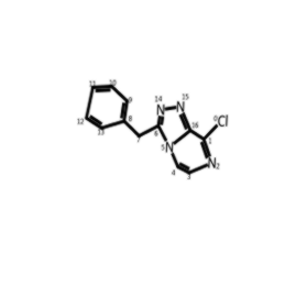 Clc1nccn2c(Cc3ccccc3)nnc12